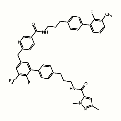 Cc1cc(C(=O)NCCCc2ccc(-c3cc(Cc4ccc(C(=O)NCCCc5ccc(-c6cccc(C(F)(F)F)c6F)cc5)cn4)cc(C(F)(F)F)c3F)cc2)n(C)n1